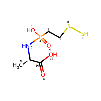 C[C@H](NP(=O)(O)CCSS)C(=O)O